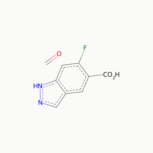 C=O.O=C(O)c1cc2cn[nH]c2cc1F